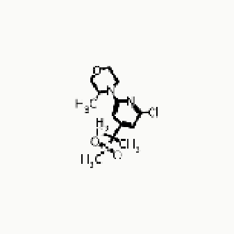 C[C@H]1COCCN1c1cc(C(C)(C)S(C)(=O)=O)cc(Cl)n1